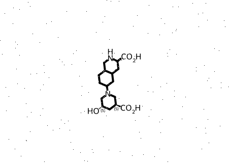 O=C(O)C1CC2CC(N3C[C@@H](O)C[C@H](C(=O)O)C3)CCC2CN1